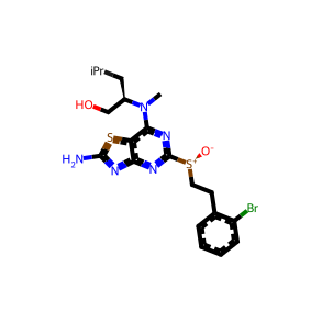 CC(C)C[C@H](CO)N(C)c1nc([S@@+]([O-])CCc2ccccc2Br)nc2nc(N)sc12